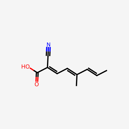 C/C=C/C(C)=C/C=C(\C#N)C(=O)O